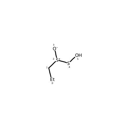 CCC[S+]([O-])SO